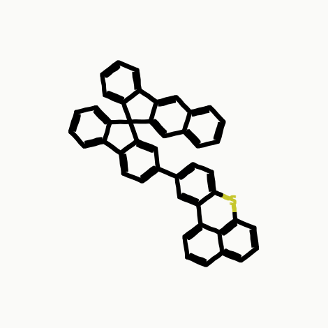 c1ccc2c(c1)-c1ccc(-c3ccc4c(c3)-c3cccc5cccc(c35)S4)cc1C21c2ccccc2-c2cc3ccccc3cc21